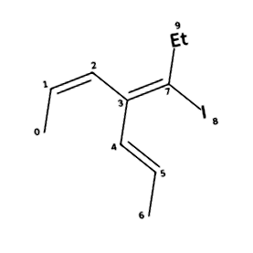 C\C=C/C(/C=C/C)=C(/I)CC